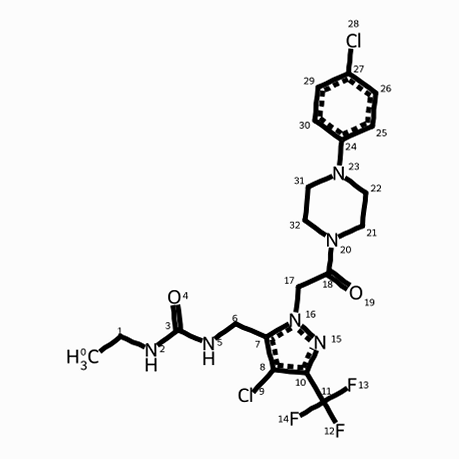 CCNC(=O)NCc1c(Cl)c(C(F)(F)F)nn1CC(=O)N1CCN(c2ccc(Cl)cc2)CC1